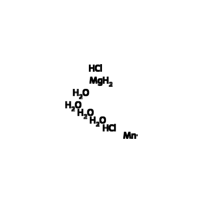 Cl.Cl.O.O.O.O.[MgH2].[Mn]